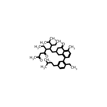 CCc1ccc(CCC(C)C)cc1-c1ccc(C)c2c1CC(CC(C(CC)C(=O)CC(C)=O)C(CC)C(C)C)CC2=O